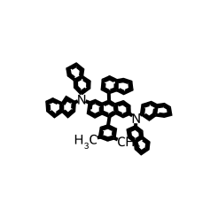 Cc1cc(C)cc(-c2c3cc(N(c4ccc5ccccc5c4)c4ccc5ccccc5c4)ccc3c(-c3cccc4ccccc34)c3cc(N(c4ccc5ccccc5c4)c4ccc5ccccc5c4)ccc23)c1